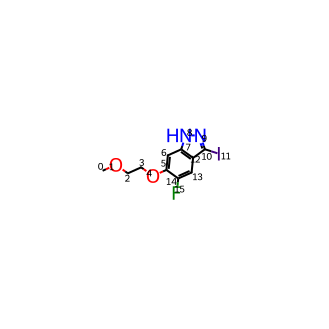 COCCOc1cc2[nH]nc(I)c2cc1F